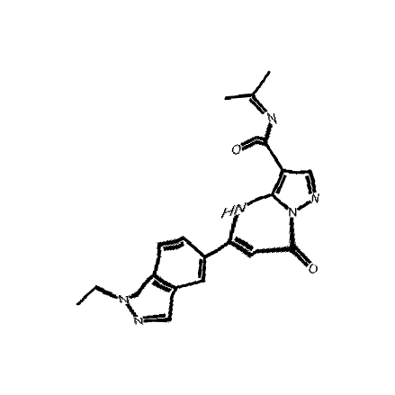 CCn1ncc2cc(-c3cc(=O)n4ncc(C(=O)N=C(C)C)c4[nH]3)ccc21